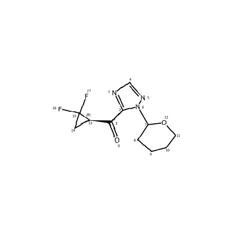 O=C(c1ncnn1C1CCCCO1)[C@H]1CC1(F)F